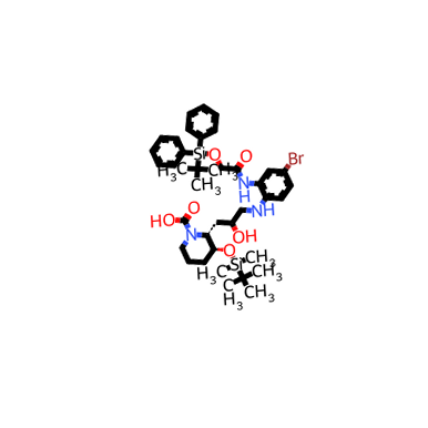 CC(C)(C)[Si](C)(C)O[C@H]1CCCN(C(=O)O)[C@@H]1CC(O)CNc1ccc(Br)cc1NC(=O)CO[Si](c1ccccc1)(c1ccccc1)C(C)(C)C